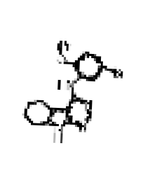 CC(C)Oc1ccc(Br)cc1Nc1ncnc2[nH]c3c(c12)CCCC3